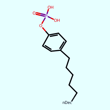 CCCCCCCCCCCCCCCc1ccc(OP(=O)(O)O)cc1